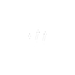 [O]=[W].[O]=[W].[W]